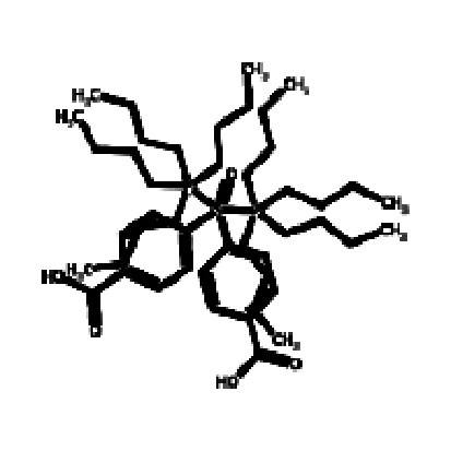 CCCCP(CCCC)(CCCC)(CCCC)S(=O)(c1ccc(C(=O)O)cc1)(c1ccc(C(=O)O)cc1)P(CCCC)(CCCC)(CCCC)CCCC